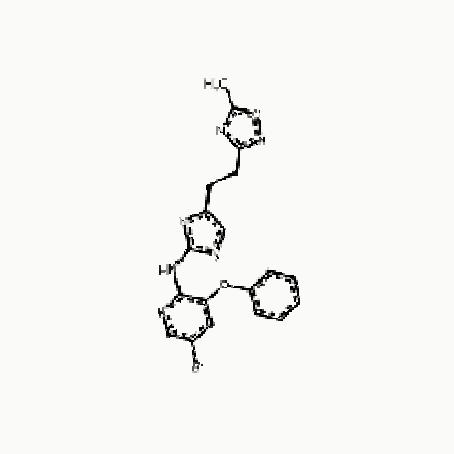 Cc1nc(CCc2csc(Nc3ncc(Br)cc3Oc3ccccc3)n2)no1